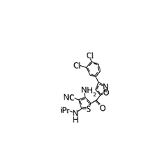 CC(C)Nc1sc(C(=O)c2cc(-c3ccc(Cl)c(Cl)c3)no2)c(N)c1C#N